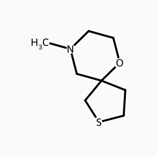 CN1CCOC2(CCSC2)C1